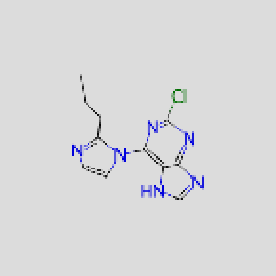 CCCc1nccn1-c1nc(Cl)nc2nc[nH]c12